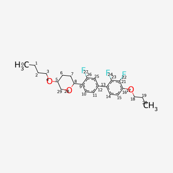 CCCCOC1CCC(c2ccc(-c3ccc(OCCC)c(F)c3F)cc2F)OC1